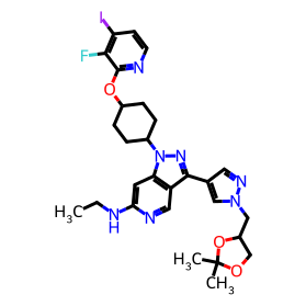 CCNc1cc2c(cn1)c(-c1cnn(CC3COC(C)(C)O3)c1)nn2C1CCC(Oc2nccc(I)c2F)CC1